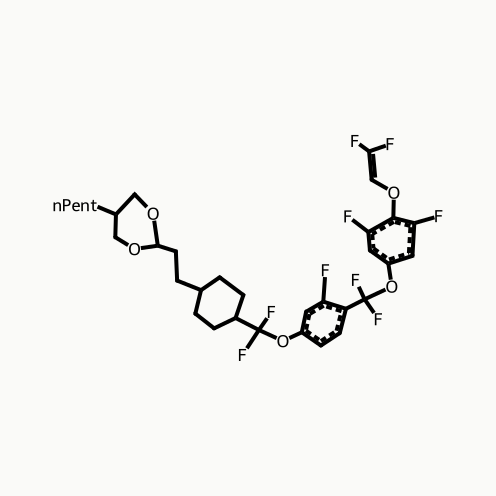 CCCCCC1COC(CCC2CCC(C(F)(F)Oc3ccc(C(F)(F)Oc4cc(F)c(OC=C(F)F)c(F)c4)c(F)c3)CC2)OC1